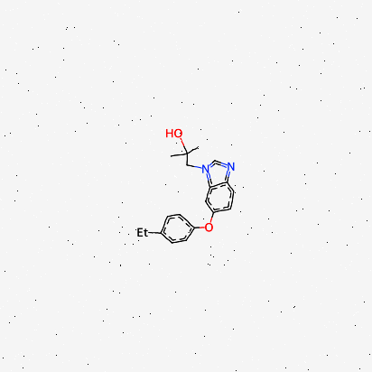 CCc1ccc(Oc2ccc3ncn(CC(C)(C)O)c3c2)cc1